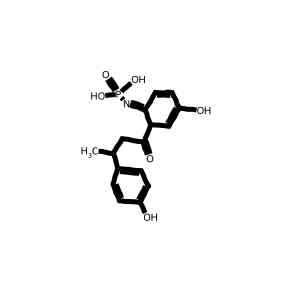 CC(CC(=O)C1C=C(O)C=CC1=NP(=O)(O)O)c1ccc(O)cc1